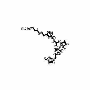 CCCCCCCCCCCCCCCCc1cc(OCC(COP(=O)([O-])OCC[n+]2ccn(C)c2)Oc2ccon2)no1